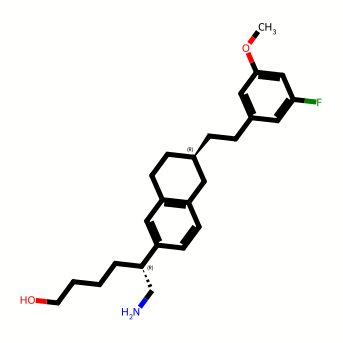 COc1cc(F)cc(CC[C@@H]2CCc3cc([C@H](CN)CCCCO)ccc3C2)c1